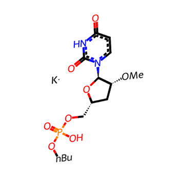 CCCCOP(=O)(O)OC[C@H]1C[C@@H](OC)[C@H](n2ccc(=O)[nH]c2=O)O1.[K]